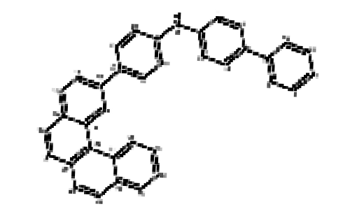 c1ccc(-c2ccc(Nc3ccc(-c4ccc5ccc6ccc7ccccc7c6c5c4)cc3)cc2)cc1